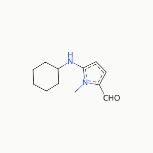 Cn1c(C=O)ccc1NC1CCCCC1